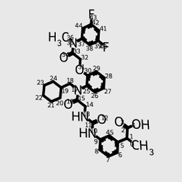 CC(C(=O)O)c1cccc(NC(=O)NCC(=O)N(CC2CCCCC2)c2ccccc2OCC(=O)N(C)c2cc(F)cc(F)c2)c1